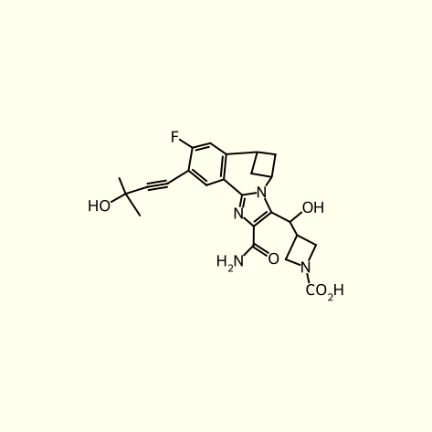 CC(C)(O)C#Cc1cc2c(cc1F)C1CC(C1)n1c-2nc(C(N)=O)c1C(O)C1CN(C(=O)O)C1